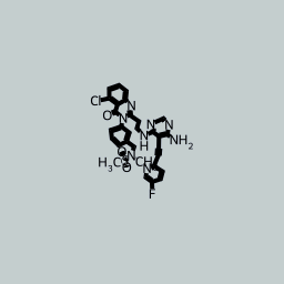 CN(Cc1cccc(-n2c(CCNc3ncnc(N)c3C#Cc3ccc(F)cn3)nc3cccc(Cl)c3c2=O)c1)S(C)(=O)=O